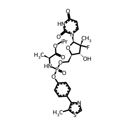 Cc1scnc1-c1ccc(OP(=O)(N[C@@H](C)C(=O)OC(C)C)OC[C@H]2O[C@@H](n3ccc(=O)[nH]c3=O)[C@](C)(F)[C@@H]2O)cc1